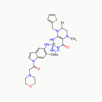 CCC1CN(C)C2=C(N[C@@](N)(Nc3cc4ccn(C(=O)CN5CCOCC5)c4cc3OC)NC2=O)N1Cc1cccs1